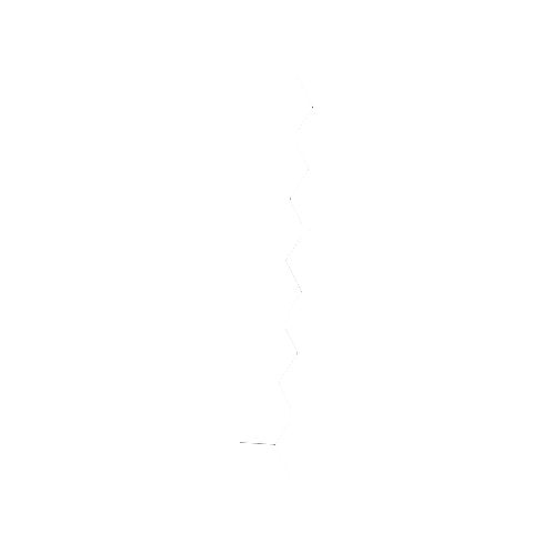 CCOCCOCCOCCOC(C)C